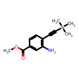 COC(=O)c1ccc(C#C[Si](C)(C)C)c(N)c1